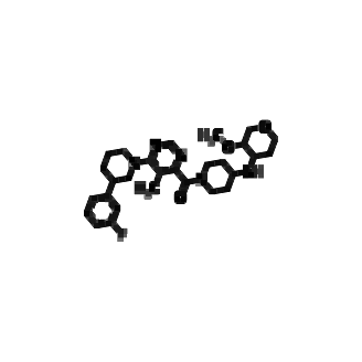 COC1COCCC1NC1CCN(C(=O)c2ncnc(N3CCCC(c4cccc(F)c4)C3)c2C)CC1